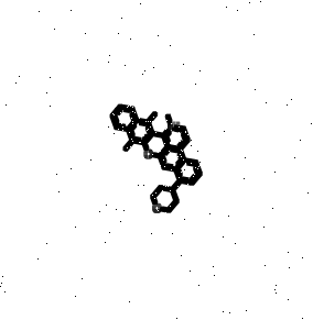 Cc1c2c(c(C)c3ccccc13)-c1c3c(cc4c(C5CCOCC5)cccc4c3cc[n+]1C)O2